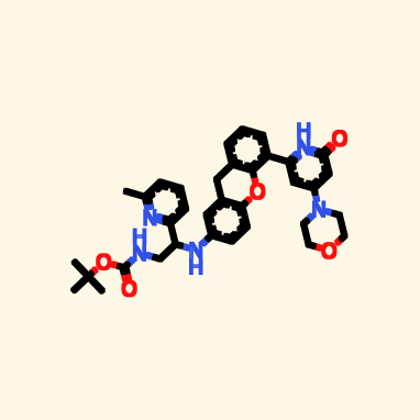 Cc1cccc(C(CNC(=O)OC(C)(C)C)Nc2ccc3c(c2)Cc2cccc(-c4cc(N5CCOCC5)cc(=O)[nH]4)c2O3)n1